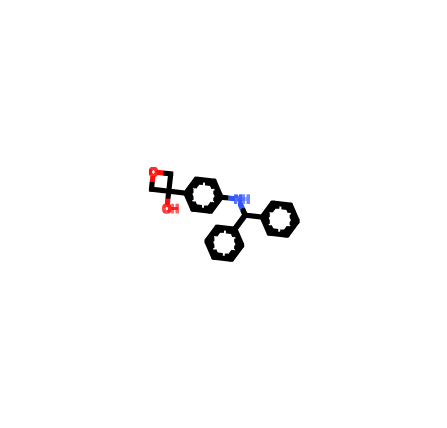 OC1(c2ccc(NC(c3ccccc3)c3ccccc3)cc2)COC1